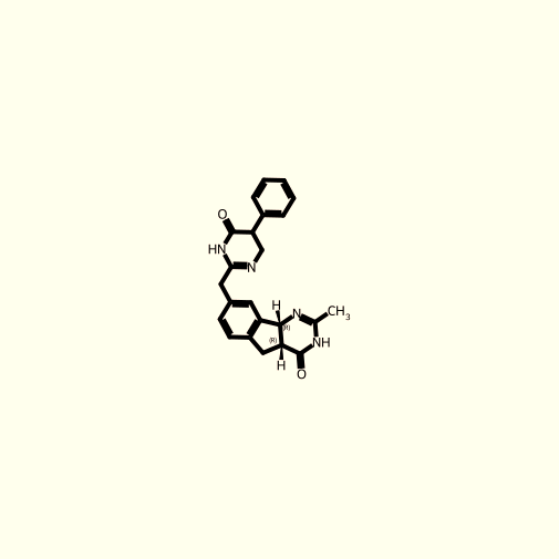 CC1=N[C@H]2c3cc(CC4=NCC(c5ccccc5)C(=O)N4)ccc3C[C@H]2C(=O)N1